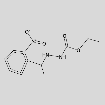 CCOC(=O)NNC(C)c1ccccc1[N+](=O)[O-]